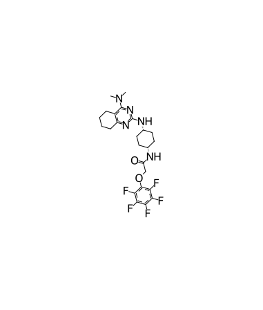 CN(C)c1nc(N[C@H]2CC[C@@H](NC(=O)COc3c(F)c(F)c(F)c(F)c3F)CC2)nc2c1CCCC2